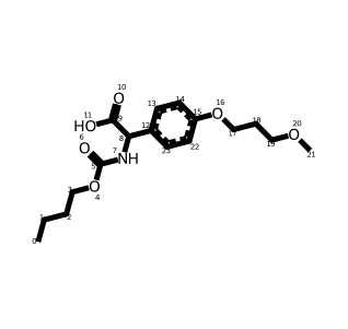 CCCCOC(=O)NC(C(=O)O)c1ccc(OCCCOC)cc1